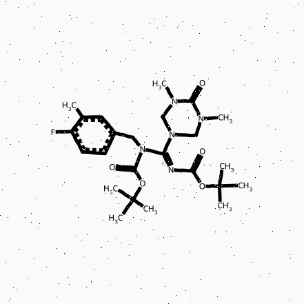 Cc1cc(CN(C(=O)OC(C)(C)C)/C(=N/C(=O)OC(C)(C)C)N2CN(C)C(=O)N(C)C2)ccc1F